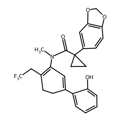 CN(C(=O)C1(c2ccc3c(c2)OCO3)CC1)C1=C(CC(F)(F)F)CCC(c2ccccc2O)=C1